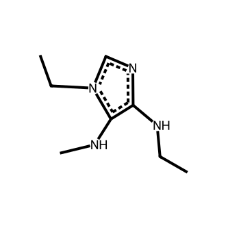 CCNc1ncn(CC)c1NC